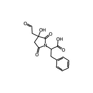 O=CCC1(O)CC(=O)N(C(Cc2ccccc2)C(=O)O)C1=O